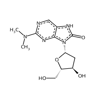 CN(C)c1ncc2[nH]c(=O)n([C@@H]3C[C@@H](O)[C@H](CO)O3)c2n1